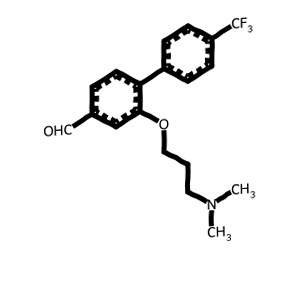 CN(C)CCCOc1cc(C=O)ccc1-c1ccc(C(F)(F)F)cc1